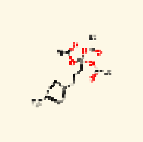 CCC(=O)O[Si](CCCc1ccc(C(F)(F)F)cc1)(OC(=O)CC)OC(=O)CC